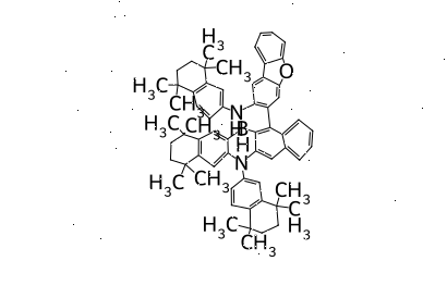 CC1(C)CCC(C)(C)c2cc(Nc3cc4c(cc3-c3c5c(cc6ccccc36)N(c3ccc6c(c3)C(C)(C)CCC6(C)C)c3cc6c(cc3B5)C(C)(C)CCC6(C)C)oc3ccccc34)ccc21